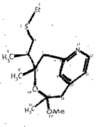 CCSC[C@H](C)C1(C)Cc2cc(ccn2)CC(C)(OC)O1